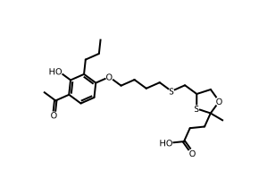 CCCc1c(OCCCCSCC2COC(C)(CCC(=O)O)S2)ccc(C(C)=O)c1O